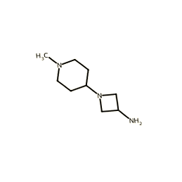 CN1CCC(N2CC(N)C2)CC1